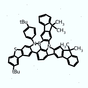 CC(C)(C)c1ccc(N2B3c4cc5c(cc4-n4c6cc7c(cc6c6ccc(c3c64)-c3cc4c(cc32)sc2ccc(C(C)(C)C)cc24)-c2ccccc2C7(C)C)C(C)(C)c2ccccc2-5)cc1